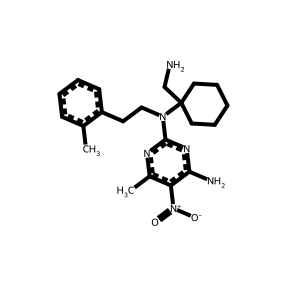 Cc1ccccc1CCN(c1nc(C)c([N+](=O)[O-])c(N)n1)C1(CN)CCCCC1